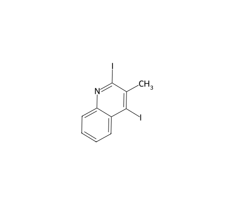 Cc1c(I)nc2ccccc2c1I